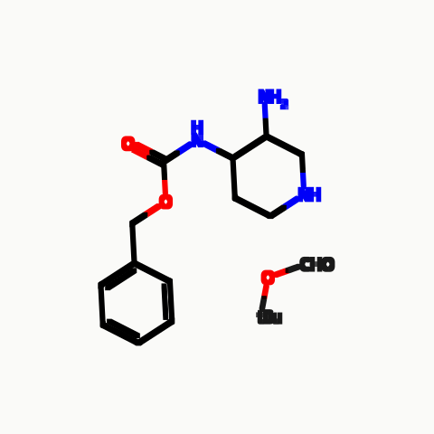 CC(C)(C)OC=O.NC1CNCCC1NC(=O)OCc1ccccc1